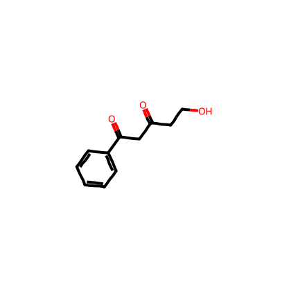 O=C(CCO)CC(=O)c1ccccc1